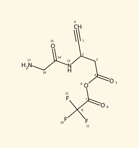 C#CC(CC(=O)OC(=O)C(F)(F)F)NC(=O)CN